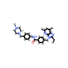 CCc1nc2c(C)cc(C)nc2n1Cc1ccc(C(=O)Nc2ccc(CN3CCN(C)CC3)cc2)cc1